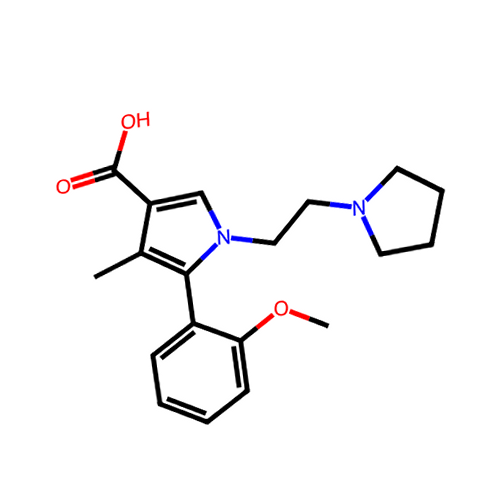 COc1ccccc1-c1c(C)c(C(=O)O)cn1CCN1CCCC1